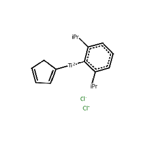 CC(C)c1cccc(C(C)C)[c]1[Ti+2][C]1=CC=CC1.[Cl-].[Cl-]